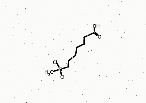 C[Si](Cl)(Cl)CCCCCCC(=O)O